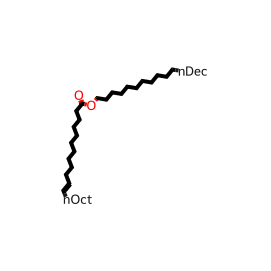 CCCCCCCCC=CCCCCCCCCCC(=O)OCCCCCCCCCCCCCCCCCCCCC